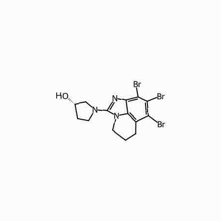 O[C@H]1CCN(c2nc3c(Br)c(Br)c(Br)c4c3n2CCC4)C1